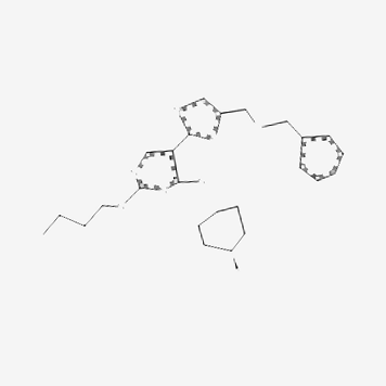 CCCCNc1ncc(-c2ncc(COCc3ccccc3)s2)c(N[C@H]2CC[C@H](O)CC2)n1